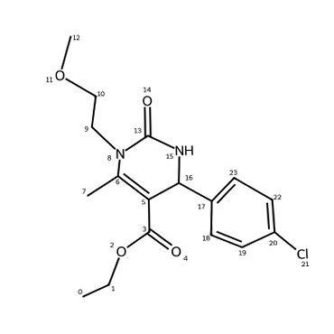 CCOC(=O)C1=C(C)N(CCOC)C(=O)NC1c1ccc(Cl)cc1